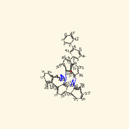 c1ccc(-c2cccc(-c3ccc(-n4c5ccccc5c5ccc6c7ccccc7n(-c7ccccc7)c6c54)cc3)c2)cc1